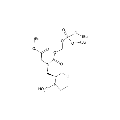 CC(C)(C)OC(=O)CN(C[C@H]1COCCN1C(=O)O)C(=O)OCOP(=O)(OC(C)(C)C)OC(C)(C)C